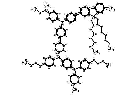 CCCCCCCCC1(CCCCCCCC)c2cc(C)ccc2-c2ccc(-c3ccc(N(c4ccc(-c5ccc(N(c6ccc(CCCC)cc6)c6ccc(N(c7ccc(C)cc7)c7ccc(CCCC)cc7)cc6)cc5)cc4)c4ccc(C(C)CC)cc4)cc3)cc21